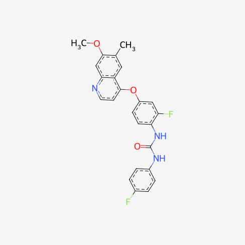 COc1cc2nccc(Oc3ccc(NC(=O)Nc4ccc(F)cc4)c(F)c3)c2cc1C